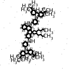 CCCCCCC1(CCCCCC)c2cc(Nc3cccc(-n4c5ccc(C(C)(C)C)cc5c5cc(C(C)(C)C)ccc54)c3)ccc2-c2c1cc(Nc1cccc(-n3c4ccc(C(C)(C)C)cc4c4cc(C(C)(C)C)ccc43)c1)c1ccccc21